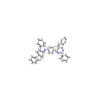 C[Si]1(C)c2ccccc2-c2nc(-c3ccccc3)nc(-c3ccc(-n4c5ccccc5c5cc6c(cc54)sc4ccccc46)cc3)c21